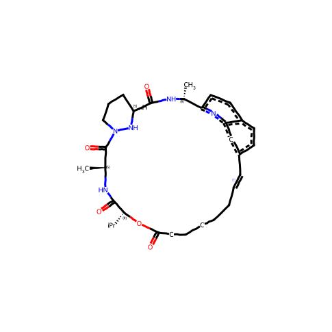 CC(C)[C@H]1OC(=O)CCCCC/C=C/c2ccc3ccc(nc3c2)[C@@H](C)NC(=O)[C@@H]2CCCN(N2)C(=O)[C@H](C)NC1=O